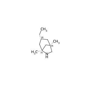 CC[C@@H]1C[C@@]2(C)CN[C@@](C)(C1)C2